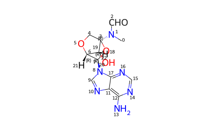 CN(C=O)[C@]12CO[C@@H]([C@H](n3cnc4c(N)ncnc43)O1)[C@H]2O